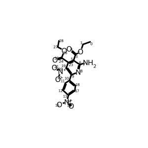 CCOC(=O)c1c(N)nc(-c2ccc([N+](=O)[O-])cc2)c([N+](=O)[O-])c1C(=O)OCC